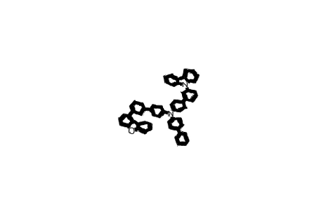 c1ccc(-c2ccc(N(c3ccc(-c4cccc(-c5cccc6oc7ccccc7c56)c4)cc3)c3ccc(-c4cccc(-n5c6ccccc6c6ccccc65)c4)cc3)cc2)cc1